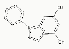 N#Cc1cc(O)c2cnn(-c3ccccc3)c2c1